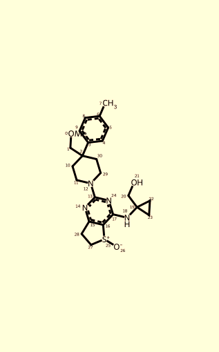 COCC1(c2ccc(C)cc2)CCN(c2nc3c(c(NC4(CO)CC4)n2)[S+]([O-])CC3)CC1